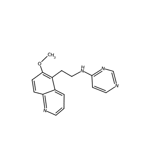 COc1ccc2ncccc2c1CCNc1ccncn1